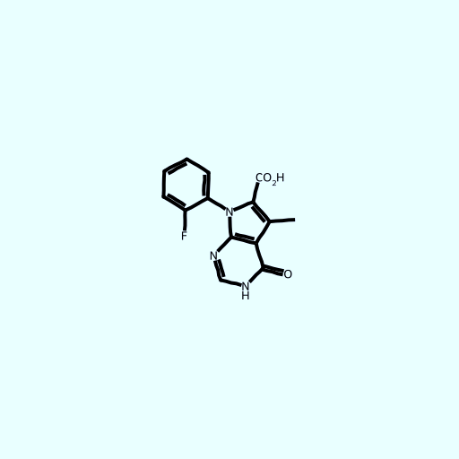 Cc1c(C(=O)O)n(-c2ccccc2F)c2nc[nH]c(=O)c12